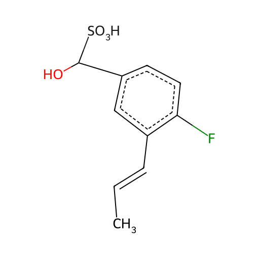 CC=Cc1cc(C(O)S(=O)(=O)O)ccc1F